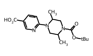 CC1CN(c2ccc(C(=O)O)cn2)C(C)CN1C(=O)OC(C)(C)C